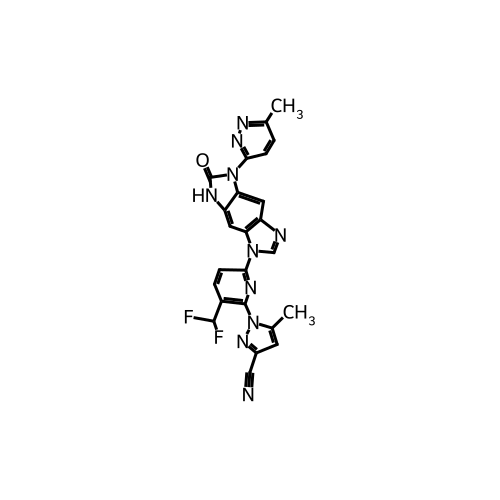 Cc1ccc(-n2c(=O)[nH]c3cc4c(cc32)ncn4-c2ccc(C(F)F)c(-n3nc(C#N)cc3C)n2)nn1